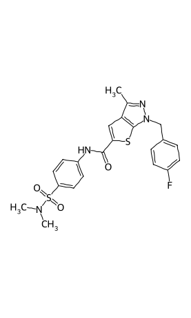 Cc1nn(Cc2ccc(F)cc2)c2sc(C(=O)Nc3ccc(S(=O)(=O)N(C)C)cc3)cc12